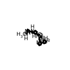 CNc1nccc(-c2cc3cc(C(=O)NC(CNc4ncccc4-c4ccc(F)cc4)C(N)=O)ccc3[nH]2)n1